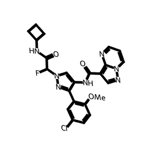 COc1ccc(Cl)cc1-c1nn(C(F)C(=O)NC2CCC2)cc1NC(=O)c1cnn2cccnc12